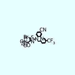 CS(=O)(=O)NC(=O)c1nc(N(Cc2ccc(C(F)(F)F)cn2)c2ccc(C#N)cc2)sc1Br